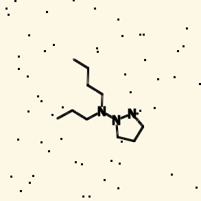 CCCCN(CCC)N1CCC[N]1